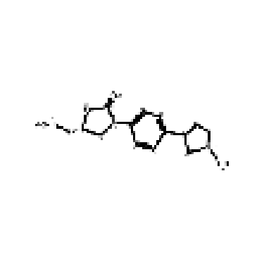 CC(=O)NC[C@H]1CN(c2ccc(C3CCN(C#N)C3)cc2)C(=O)O1